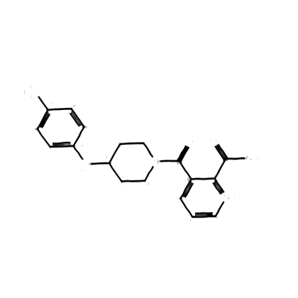 NC(=O)c1ncccc1C(=O)N1CCC(Oc2ccc(C(F)(F)F)cc2)CC1